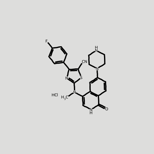 CN(c1nc(-c2ccc(F)cc2)c(C#N)s1)c1c[nH]c(=O)c2ccc(N3CCNCC3)cc12.Cl